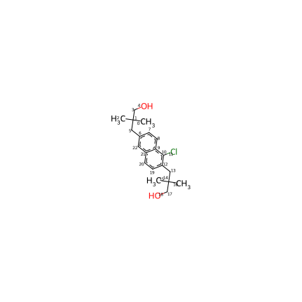 CC(C)(CO)Cc1ccc2c(Cl)c(CC(C)(C)CO)ccc2c1